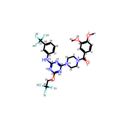 COc1ccc(C(=O)N2CCN(c3nc(Nc4cccc(C(F)(F)F)c4)nc(OCC(F)(F)F)n3)CC2)cc1OC